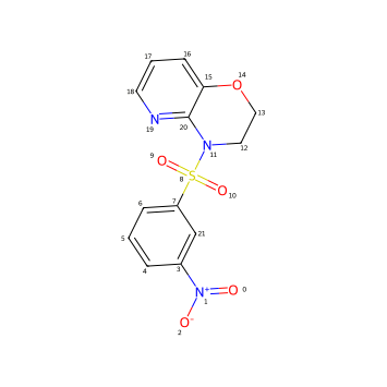 O=[N+]([O-])c1cccc(S(=O)(=O)N2CCOc3cccnc32)c1